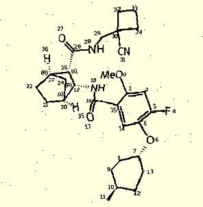 COc1cc(F)c(O[C@H]2CC[C@H](C)CC2)cc1C(=O)N[C@@H]1[C@H]2CC[C@H](C2)[C@@H]1C(=O)NCC1(C#N)CCC1